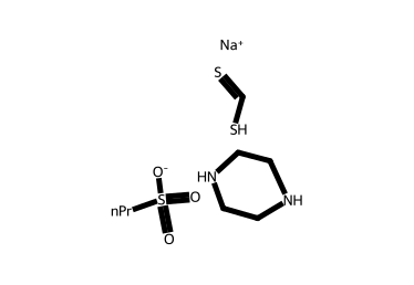 C1CNCCN1.CCCS(=O)(=O)[O-].S=CS.[Na+]